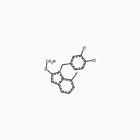 O=C(O)Oc1cc2cccc(F)c2n1Cc1ccc(Cl)c(Cl)c1